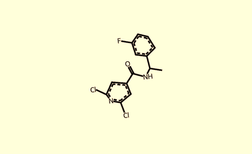 CC(NC(=O)c1cc(Cl)nc(Cl)c1)c1cccc(F)c1